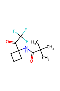 CC(C)(C)C(=O)NC1(C(=O)C(F)(F)F)CCC1